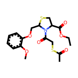 CCOC(=O)C1CSC(COc2ccccc2OC)N1C(=O)CSC(C)=O